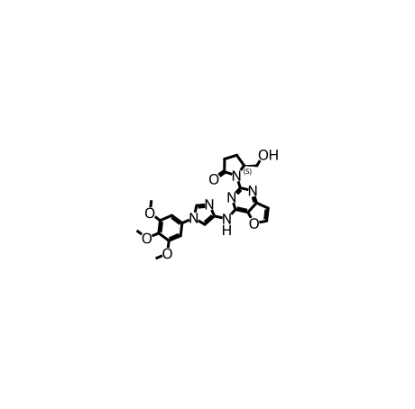 COc1cc(-n2cnc(Nc3nc(N4C(=O)CC[C@H]4CO)nc4ccoc34)c2)cc(OC)c1OC